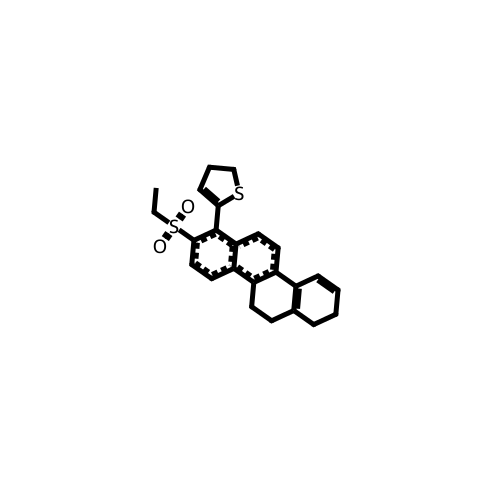 CCS(=O)(=O)c1ccc2c3c(ccc2c1C1=CCCS1)C1=C(CCC=C1)CC3